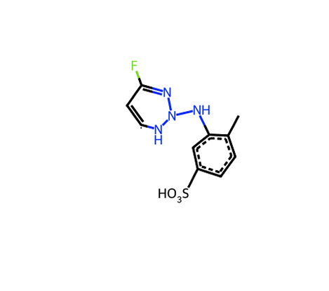 Cc1ccc(S(=O)(=O)O)cc1NN1N=C(F)C=[C]N1